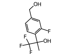 CC(O)(c1ccc(CO)cc1F)C(F)(F)F